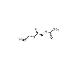 CCCCCCCCOC(=O)N=NC(=O)OCC(C)C